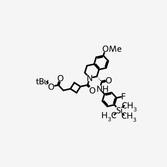 COc1ccc2c(c1)CCN(C(=O)C1CC(CC(=O)OC(C)(C)C)C1)[C@H]2C(=O)Nc1ccc([Si](C)(C)C)c(F)c1